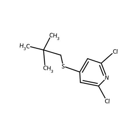 CC(C)(C)CSc1cc(Cl)nc(Cl)c1